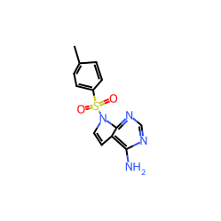 Cc1ccc(S(=O)(=O)n2ccc3c(N)ncnc32)cc1